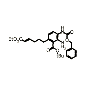 CCOC(=O)C=CCCCc1ccc(NC(=O)OCc2ccccc2)c(N)c1C(=O)OC(C)(C)C